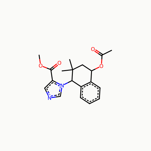 COC(=O)c1cncn1C1c2ccccc2C(OC(C)=O)CC1(C)C